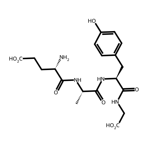 C[C@H](NC(=O)[C@@H](N)CCC(=O)O)C(=O)N[C@@H](Cc1ccc(O)cc1)C(=O)NCC(=O)O